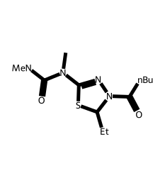 CCCCC(=O)N1N=C(N(C)C(=O)NC)SC1CC